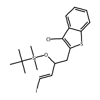 CC(C)(C)[Si](C)(C)OC(/C=C/I)Cc1sc2ccccc2c1Cl